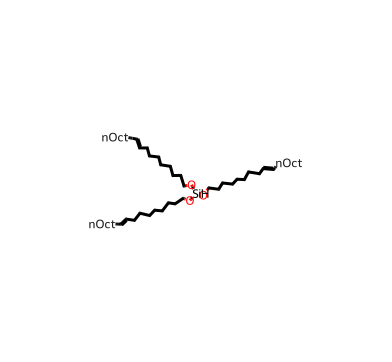 CCCCCCCCC=CCCCCCCCCO[SiH](OCCCCCCCCC=CCCCCCCCC)OCCCCCCCCC=CCCCCCCCC